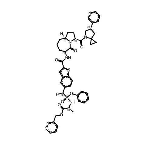 C[C@H](NP(=O)(Oc1ccccc1)[C@@H](F)c1ccc2sc(C(=O)N[C@H]3CCC[C@H]4CC[C@@H](C(=O)N5C[C@@H](c6cccnc6)CC56CC6)N4C3=O)cc2c1)C(=O)OCc1cccnn1